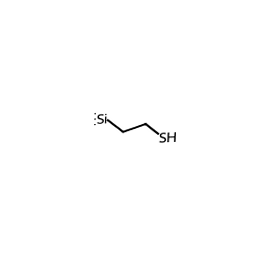 [Si]CCS